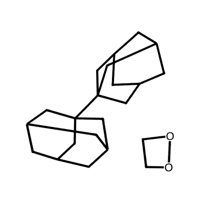 C1C2CC3CC1CC(C14CC5CC(CC(C5)C1)C4)(C2)C3.C1COO1